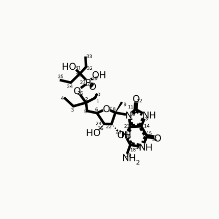 CCC(CC)(CC1O[C@](C)(n2c(=O)[nH]c3c(=O)[nH]c(N)nc32)[C@H](O)[C@@H]1O)OP(=O)(O)C(O)(CC)CC